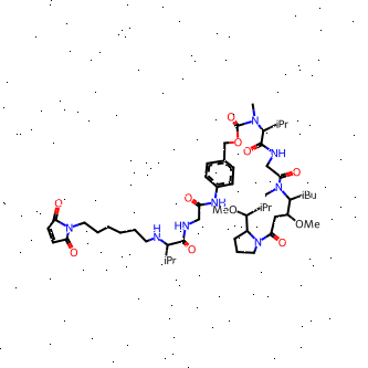 CCC(C)C(C(CC(=O)N1CCCC1C(OC)C(C)C)OC)N(C)C(=O)CNC(=O)C(C(C)C)N(C)C(=O)OCc1ccc(NC(=O)CNC(=O)C(NCCCCCCN2C(=O)C=CC2=O)C(C)C)cc1